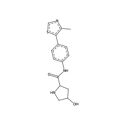 Cc1ncsc1-c1ccc(NC(=O)C2CC(O)CN2)cc1